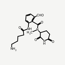 CN(C(=O)c1c(C=O)cccc1NC(=O)CCCCN)C1CCC(=O)NC1=O